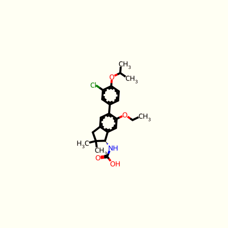 CCOc1cc2c(cc1-c1ccc(OC(C)C)c(Cl)c1)CC(C)(C)[C@H]2NC(=O)O